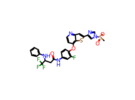 CS(=O)(=O)n1cnc(-c2cc3nccc(Oc4ccc(NC(=O)CC(Nc5ccccc5)C(F)(F)F)cc4F)c3s2)c1